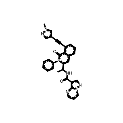 CC(NC(=O)c1cnn2cccnc12)c1cc2cccc(C#Cc3cnn(C)c3)c2c(=O)n1-c1ccccc1